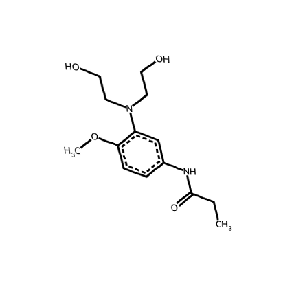 CCC(=O)Nc1ccc(OC)c(N(CCO)CCO)c1